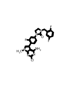 Cn1cc(-c2ccc(N3CCN(Cc4cc(F)ccc4F)C3=O)cc2F)c2c(N)nc(Cl)nc21